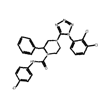 O=C(Nc1ccc(Cl)cc1)N1CCN(c2nnnn2-c2cccc(Cl)c2Cl)CC1c1ccccc1